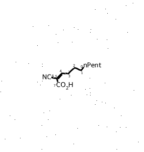 CCCCCCCCC=C(C#N)C(=O)O